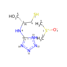 C[S+](C)[O-].O=C(O)[C@H](CS)Nc1nnn[nH]1